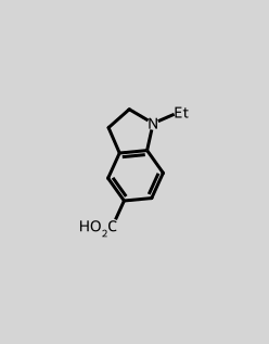 CCN1CCc2cc(C(=O)O)ccc21